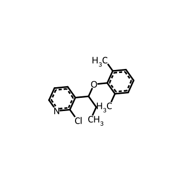 CCC(Oc1c(C)cccc1C)c1cccnc1Cl